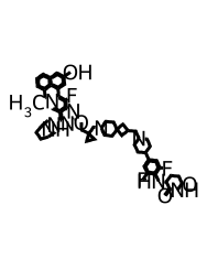 CCc1cccc2cc(O)cc(-c3ncc4c(N5CC6CCC(C5)N6)nc(OCC5(CN6CCC7(CC6)CC(CN6CCC(c8cc(F)c(NC9CCC(=O)NC9=O)c(F)c8)CC6)C7)CC5)nc4c3F)c12